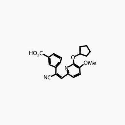 COc1ccc(C=C(C#N)c2cccc(C(=O)O)c2)nc1OC1CCCC1